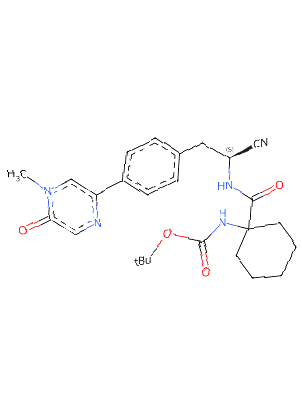 Cn1cc(-c2ccc(C[C@@H](C#N)NC(=O)C3(NC(=O)OC(C)(C)C)CCCCC3)cc2)ncc1=O